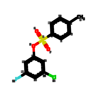 Cc1ccc(S(=O)(=O)Oc2cc(F)cc(Cl)c2)cc1